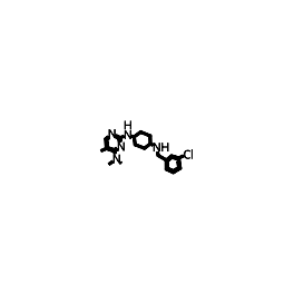 Cc1cnc(NC2CCC(NCc3cccc(Cl)c3)CC2)nc1N(C)C